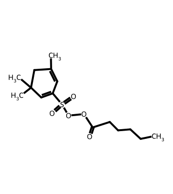 CCCCCC(=O)OOS(=O)(=O)C1=CC(C)(C)CC(C)=C1